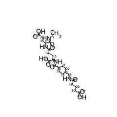 CCNC(=O)C(CCC(=O)O)NC(=O)CCC(NC(=O)C1CCC(CNC(=O)CCCC(=O)O)CC1)C(=O)O